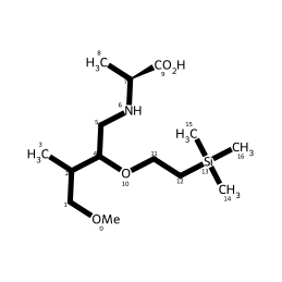 COCC(C)C(CN[C@@H](C)C(=O)O)OCC[Si](C)(C)C